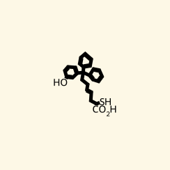 O=C(O)C(S)CC=CCCC(c1ccccc1)(c1ccccc1)c1cccc(O)c1